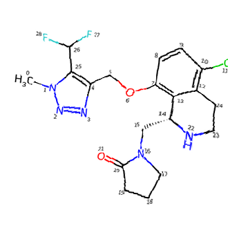 Cn1nnc(COc2ccc(Cl)c3c2[C@@H](CN2CCCC2=O)NCC3)c1C(F)F